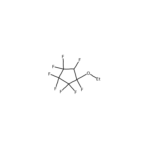 CCOC1(F)C(F)C(F)(F)C(F)(F)C1(F)F